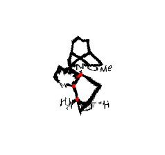 COC1(c2ccnc(C(N)=O)c2)C2CCCC1CN([C@@H]1C[C@H]3C[C@H]3C1)C2